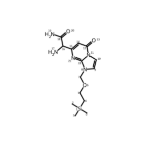 C[Si](C)(C)CCOCn1ccn2c(=O)cc(C(N)C(N)=O)nc12